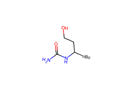 CCCCC(CCO)NC(N)=O